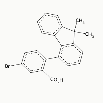 CC1(C)c2ccccc2-c2c(-c3ccc(Br)cc3C(=O)O)cccc21